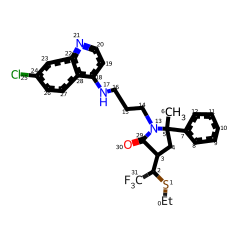 CCSC(C1CC(C)(c2ccccc2)N(CCCNc2ccnc3cc(Cl)ccc23)C1=O)C(F)(F)F